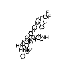 CC(C)c1ccccc1[C@@H]1CN(Cc2ccc(F)c(F)c2)CCN1C1CCN(c2ccc(C(=O)NS(=O)(=O)c3cc([NH+](C)[O-])c(NC[C@H]4CC[C@@H](C)CC4)c4[nH]cnc34)c(Oc3cnc4[nH]ccc4c3)c2)CC1